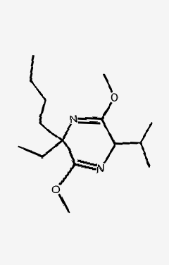 CCCCC1(CC)N=C(OC)C(C(C)C)N=C1OC